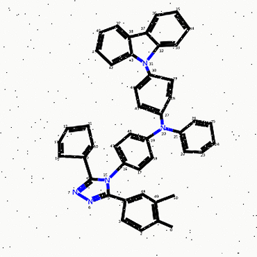 Cc1ccc(-c2nnc(-c3ccccc3)n2-c2ccc(N(c3ccccc3)c3ccc(-n4c5ccccc5c5ccccc54)cc3)cc2)cc1C